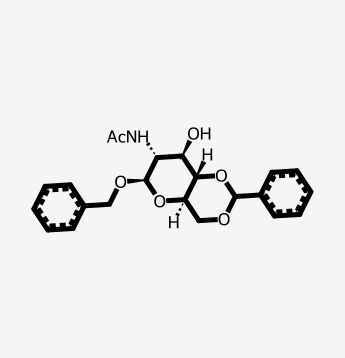 CC(=O)N[C@H]1[C@H](OCc2ccccc2)O[C@@H]2COC(c3ccccc3)O[C@H]2[C@@H]1O